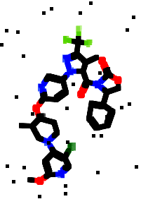 COc1cc(N2CC[C@H](Oc3ccc(N4N=C(C(F)(F)F)C(C)C4C(=O)N4C(=O)OCC4c4ccccc4)cn3)C(C)C2)c(Cl)cn1